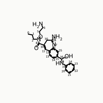 CCCN(OCCN)C(=O)C1=Cc2ccc(C(O)Nc3ccccc3)cc2N=C(N)C1